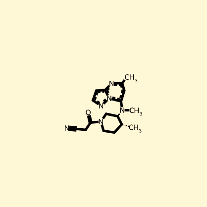 Cc1cc(N(C)[C@H]2CN(C(=O)CC#N)CC[C@H]2C)n2nccc2n1